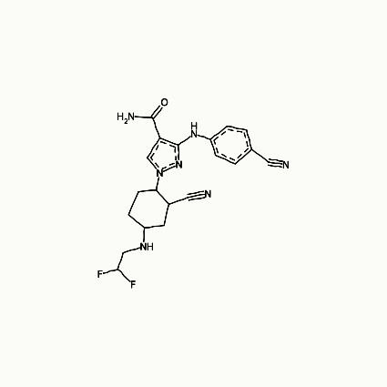 N#Cc1ccc(Nc2nn(C3CCC(NCC(F)F)CC3C#N)cc2C(N)=O)cc1